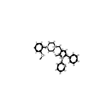 COc1ccccc1N1CCN(Cc2cc(-c3ccccc3)n(-c3ccccn3)c2C)CC1